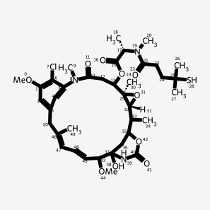 COc1cc2cc(c1Cl)N(C)C(=O)CC(OC(=O)[C@H](C)N(C)C(=O)CCC(C)(C)S)[C@@]1(C)O[C@@H]1C(C)C1CC(O)(NC(=O)O1)C(OC)/C=C/C=C(\C)C2